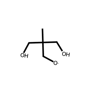 CC(C[O])(CO)CO